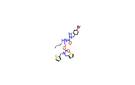 CCCC[C@@H](COC(=O)N(Cc1cccs1)Cc1cccs1)NC(=O)NCc1ccc(Br)cc1